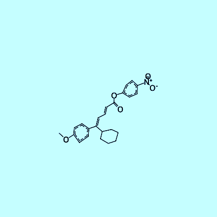 COc1ccc(C(=CC=CC(=O)Oc2ccc([N+](=O)[O-])cc2)C2CCCCC2)cc1